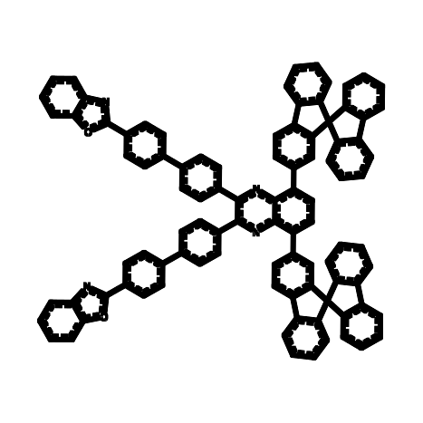 c1ccc2c(c1)-c1ccccc1C21c2ccccc2-c2ccc(-c3ccc(-c4ccc5c(c4)C4(c6ccccc6-c6ccccc64)c4ccccc4-5)c4nc(-c5ccc(-c6ccc(-c7nc8ccccc8o7)cc6)cc5)c(-c5ccc(-c6ccc(-c7nc8ccccc8o7)cc6)cc5)nc34)cc21